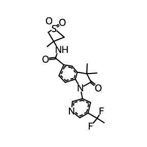 CC1(NC(=O)c2ccc3c(c2)C(C)(C)C(=O)N3c2cncc(C(C)(F)F)c2)CS(=O)(=O)C1